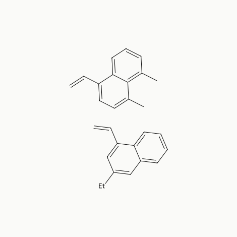 C=Cc1cc(CC)cc2ccccc12.C=Cc1ccc(C)c2c(C)cccc12